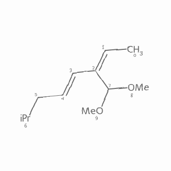 CC=C(C=CCC(C)C)C(OC)OC